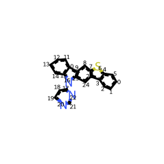 c1ccc2c(c1)sc1cc3c4ccccc4n(-c4ccncn4)c3cc12